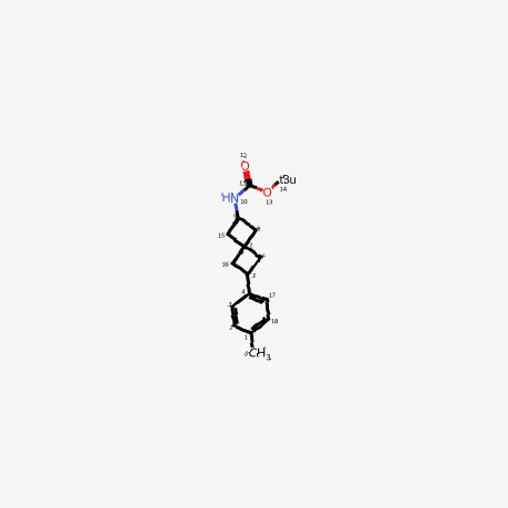 Cc1ccc(C2CC3(CC(NC(=O)OC(C)(C)C)C3)C2)cc1